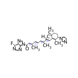 CC1=C(/C=C/C(C)=C/C=C/C(C)=C/C(=O)n2cnc3c(F)ncnc32)C(C)(C)CCC1n1ccnc1